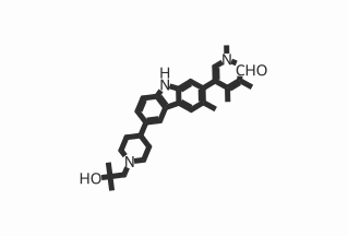 C/C(C=O)=C(C)/C(=C\N(C)C)c1cc2[nH]c3ccc(C4CCN(CC(C)(C)O)CC4)cc3c2cc1C